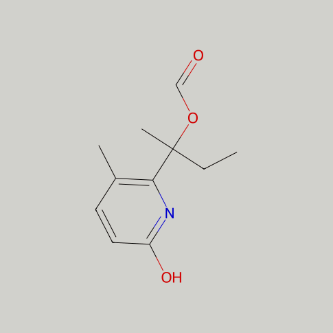 CCC(C)(OC=O)c1nc(O)ccc1C